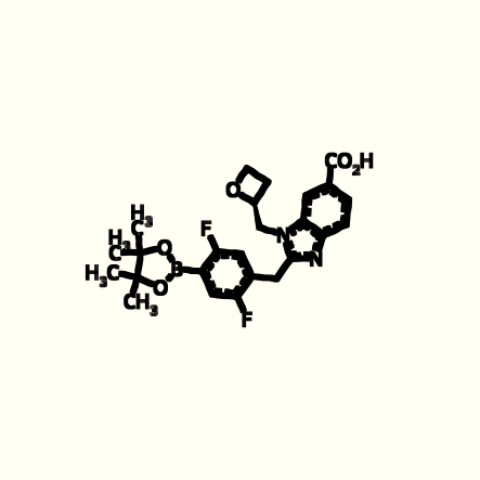 CC1(C)OB(c2cc(F)c(Cc3nc4ccc(C(=O)O)cc4n3C[C@@H]3CCO3)cc2F)OC1(C)C